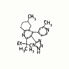 CCC(C)(C)c1nc2c(c(-c3ccnc(C)c3)c1-c1nn[nH]n1)CC(C)CC2